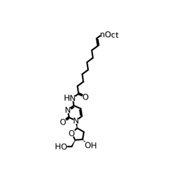 CCCCCCCC/C=C/CCCCCCCC(=O)Nc1ccn([C@H]2C[C@H](O)[C@@H](CO)O2)c(=O)n1